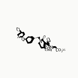 O=C(O)CNC(=O)C1=C(O)CCN(C[C@H]2CC[C@H](Oc3ccc(Cl)cn3)CC2)C1=O